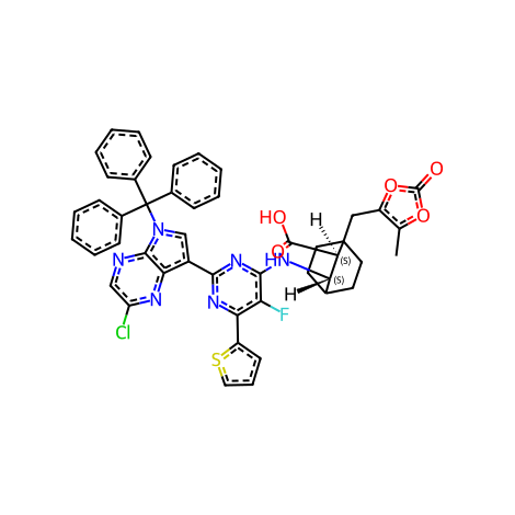 Cc1oc(=O)oc1CC12CCC(CC1)[C@H](Nc1nc(-c3cn(C(c4ccccc4)(c4ccccc4)c4ccccc4)c4ncc(Cl)nc34)nc(-c3cccs3)c1F)[C@H]2C(=O)O